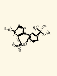 CCOC(=O)C(C)(C)c1ccc(OC)c(-c2ccc(C)cc2CN(CC)C(C)=O)c1